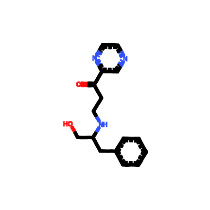 O=C(CCNC(CO)Cc1ccccc1)c1cnccn1